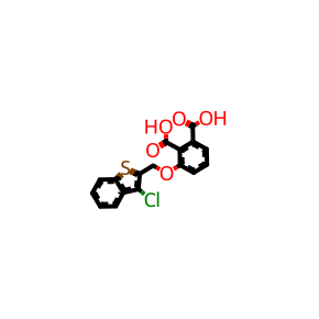 O=C(O)c1cccc(OCc2sc3ccccc3c2Cl)c1C(=O)O